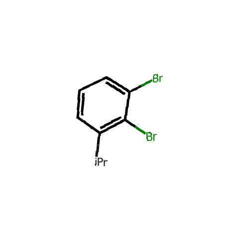 CC(C)c1cccc(Br)c1Br